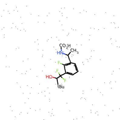 CC(NC(=O)O)c1cccc(C(F)(F)C(O)C(C)(C)C)c1F